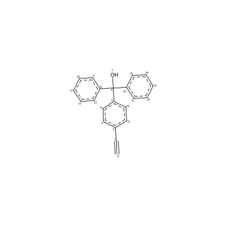 C#Cc1ccc(C(O)(c2ccccc2)c2ccccc2)cc1